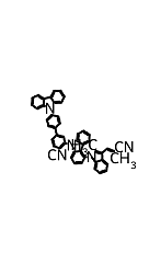 C/C(C#N)=C\c1c(C)n(-c2cccc3c2c2ccccc2n3-c2cc(-c3ccc(-n4c5ccccc5c5ccccc54)cc3)ccc2C#N)c2ccccc12